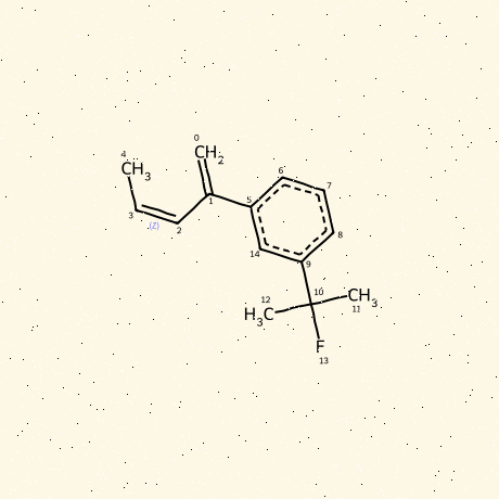 C=C(/C=C\C)c1cccc(C(C)(C)F)c1